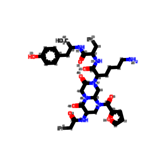 CC(C)CC(=O)NC1CN(C(=O)c2ccco2)C2CN(C(CCCCN)C(=O)NC(CC(C)C)C(=O)NC(Cc3ccc(O)cc3)C(=O)O)C(=O)CN2C1=O